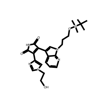 CC(C)(C)[Si](C)(C)OCCCn1cc(C2=C(c3cn(CCO)cn3)C(=O)NC2=O)c2cccnc21